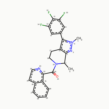 CC1c2nn(C)c(-c3cc(F)c(F)c(F)c3)c2CCN1C(=O)c1nccc2ccccc12